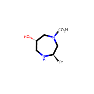 CC(C)[C@@H]1CN(C(=O)O)C[C@@H](O)CN1